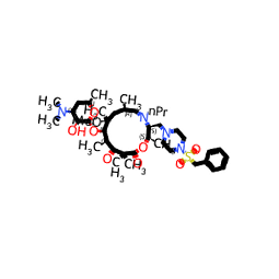 CCCN1C[C@H](C)C[C@@](C)(OC)[C@H](O[C@@H]2O[C@H](C)C[C@H](N(C)C)[C@H]2O)[C@@H](C)C(=O)C(C)(C)C(=O)O[C@@H](C)[C@@H]1CN1CCN(S(=O)(=O)Cc2ccccc2)CC1